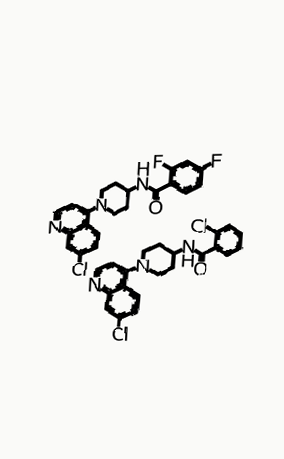 O=C(NC1CCN(c2ccnc3cc(Cl)ccc23)CC1)c1ccc(F)cc1F.O=C(NC1CCN(c2ccnc3cc(Cl)ccc23)CC1)c1ccccc1Cl